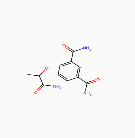 CC(O)C(N)=O.NC(=O)c1cccc(C(N)=O)c1